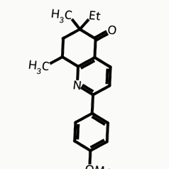 CCC1(C)CC(C)c2nc(-c3ccc(OC)cc3)ccc2C1=O